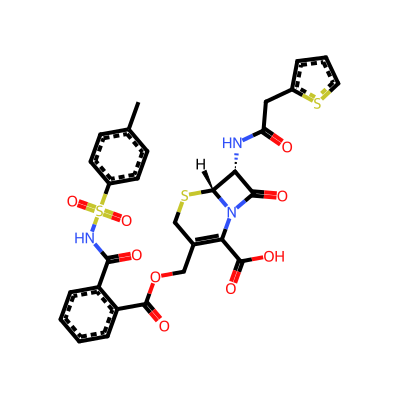 Cc1ccc(S(=O)(=O)NC(=O)c2ccccc2C(=O)OCC2=C(C(=O)O)N3C(=O)[C@@H](NC(=O)Cc4cccs4)[C@H]3SC2)cc1